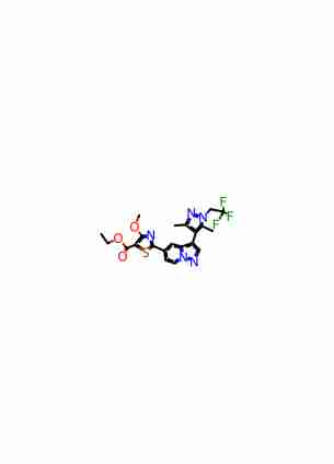 CCOC(=O)c1sc(-c2ccn3ncc(-c4c(C)nn(CC(F)(F)F)c4C)c3c2)nc1OC